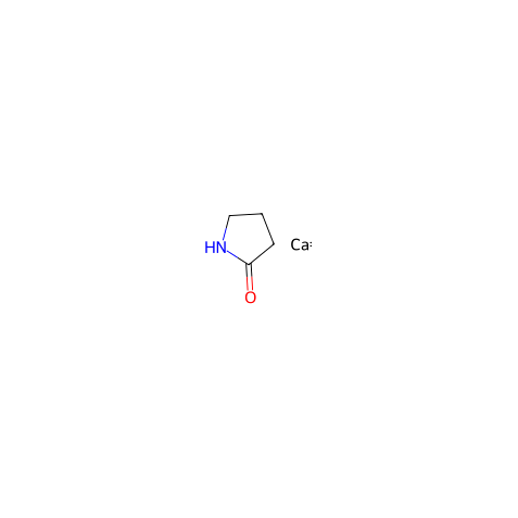 O=C1CCCN1.[Ca]